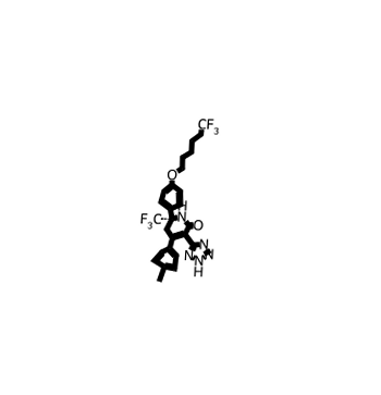 Cc1ccc(C2=C(c3nn[nH]n3)C(=O)N[C@@](c3ccc(OCCCCCC(F)(F)F)cc3)(C(F)(F)F)C2)cc1